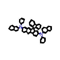 c1ccc(N(c2ccc3c(c2)C2(c4ccccc4-c4ccccc42)c2cc4cc(N(c5ccccc5)c5ccc6ccccc6c5)ccc4cc2-3)c2ccc3ccccc3c2)cc1